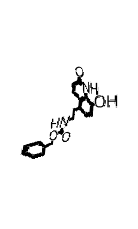 O=C(NCCc1ccc(O)c2[nH]c(=O)ccc12)OCc1ccccc1